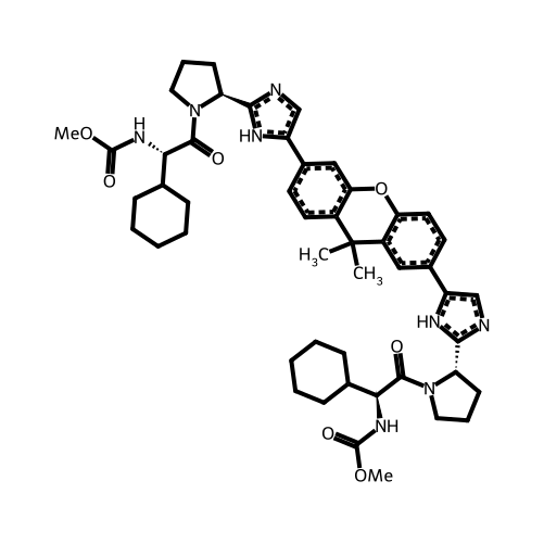 COC(=O)N[C@H](C(=O)N1CCC[C@H]1c1ncc(-c2ccc3c(c2)Oc2ccc(-c4cnc([C@@H]5CCCN5C(=O)[C@@H](NC(=O)OC)C5CCCCC5)[nH]4)cc2C3(C)C)[nH]1)C1CCCCC1